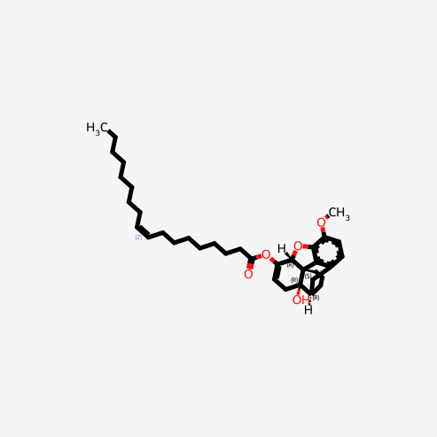 CCCCCCCC/C=C\CCCCCCCC(=O)OC1=CC[C@@]2(O)[C@@H]3CCC[C@@]24c2c(ccc(OC)c2O[C@@H]14)C3